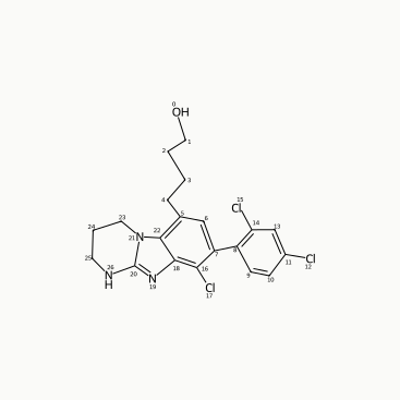 OCCCCc1cc(-c2ccc(Cl)cc2Cl)c(Cl)c2nc3n(c12)CCCN3